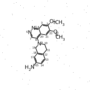 COc1cc2nncc(N3CCc4ccc(N)cc4C3)c2cc1OC